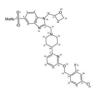 CNS(=O)(=O)c1ccc2c(c1)nc(CN1CCC(c3cccc(OCc4ccc(Cl)cc4F)n3)CC1)n2CC1CCO1